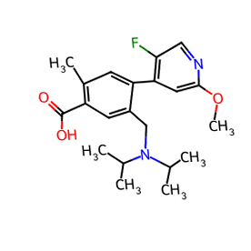 COc1cc(-c2cc(C)c(C(=O)O)cc2CN(C(C)C)C(C)C)c(F)cn1